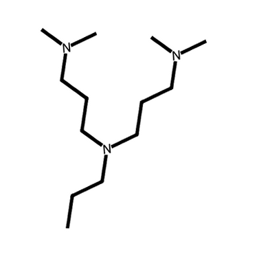 CCCN(CCCN(C)C)CCCN(C)C